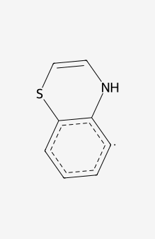 [c]1cccc2c1NC=CS2